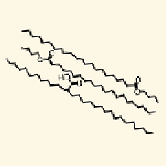 CCCCCCCCCCCCCCCCC(CCCCCCCCCCCC)C(=O)O.CCCCCCCCCCCCCCCCCCCCC(=O)OCCCC.CCCCCCCCCCCCCCCCCCCCCC(=O)OCCCC